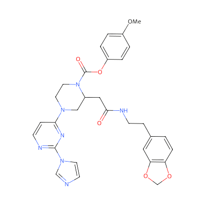 COc1ccc(OC(=O)N2CCN(c3ccnc(-n4ccnc4)n3)CC2CC(=O)NCCc2ccc3c(c2)OCO3)cc1